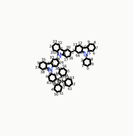 c1ccc(-n2c3ccccc3c3ccc(-c4ccc5c(c4)c4ccccc4n5-c4ccc5c(c4)c4ccccc4n5-c4cccc([Si](c5ccccc5)(c5ccccc5)c5ccccc5)c4)cc32)cc1